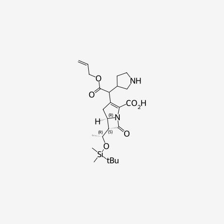 C=CCOC(=O)C(C1=C(C(=O)O)N2C(=O)[C@H]([C@@H](C)O[Si](C)(C)C(C)(C)C)[C@H]2C1)C1CCNC1